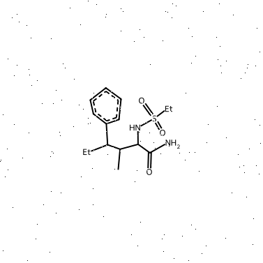 CCC(c1ccccc1)C(C)C(NS(=O)(=O)CC)C(N)=O